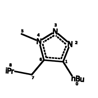 CCCCc1nnn(C)c1CC(C)C